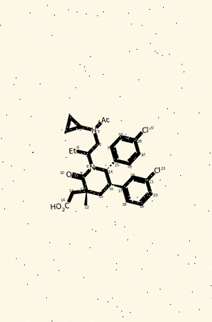 CCC(CN(C(C)=O)C1CC1)N1C(=O)[C@@](C)(CC(=O)O)C[C@H](c2cccc(Cl)c2)[C@H]1c1ccc(Cl)cc1